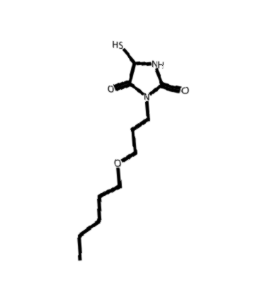 CCCCCOCCCN1C(=O)NC(S)C1=O